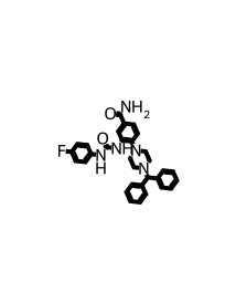 NC(=O)c1ccc(N2CCN(C(c3ccccc3)c3ccccc3)CC2)c(NC(=O)Nc2ccc(F)cc2)c1